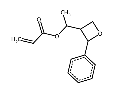 C=CC(=O)OC(C)C1COC1c1ccccc1